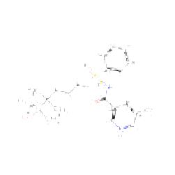 CC(C)(CCCC[S@@](=O)(=NC(=O)c1cncc(Br)c1)c1ccccc1)[Si](C)(C)O